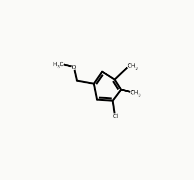 COCc1cc(C)c(C)c(Cl)c1